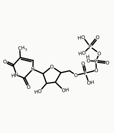 Cc1cn(C2OC(COP(=O)(O)OP(=O)(O)OP(=O)(O)O)C(O)C2O)c(=O)[nH]c1=O